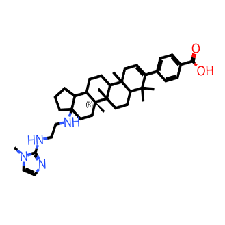 Cn1ccnc1NCCNC12CCCC1C1CCC3C4(C)CC=C(c5ccc(C(=O)O)cc5)C(C)(C)C4CCC3(C)[C@]1(C)CC2